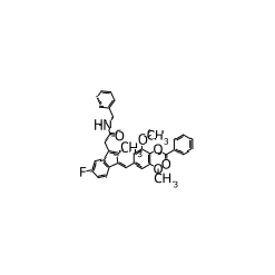 COc1cc(C=C2C(C)=C(CC(=O)NCc3ccccc3)c3cc(F)ccc32)cc(OC)c1OC(=O)c1ccccc1